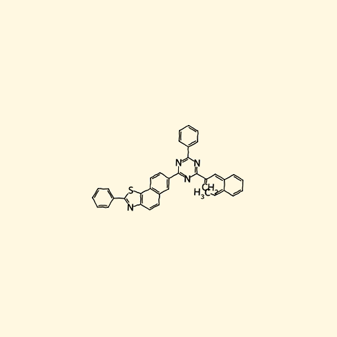 C=C(/C=c1/cccc/c1=C/C)c1nc(-c2ccccc2)nc(-c2ccc3c(ccc4nc(-c5ccccc5)sc43)c2)n1